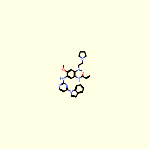 C=CC(=O)Nc1cc(Nc2nccc(-n3ccc4ccccc43)n2)c(OC)cc1N(C)CCN1CCCC1